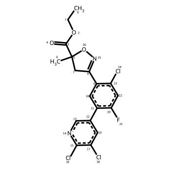 CCOC(=O)C1(C)CC(c2cc(-c3cnc(Cl)c(Cl)c3)c(F)cc2Cl)=NO1